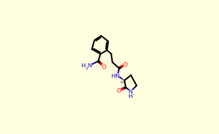 NC(=O)c1ccccc1[CH]CC(=O)N[C@H]1CCNC1=O